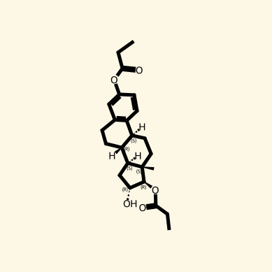 CCC(=O)Oc1ccc2c(c1)CC[C@@H]1[C@@H]2CC[C@@]2(C)[C@H]1C[C@@H](O)[C@@H]2OC(=O)CC